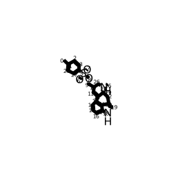 Cc1ccc(S(=O)(=O)OCC2C=C3c4cccc5[nH]cc(c45)C[C@H]3N(C)C2)cc1